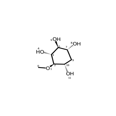 CO[C@H]1[C@H](O)[C@@H](O)[C@H](O)C[C@@H]1O